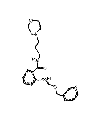 O=C(NCCCN1CCOCC1)c1ccccc1NCOCc1cccnc1